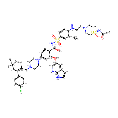 CC(C)C(=O)N=[SH]1(O)CCN(CCNc2ccc(S(=O)(=O)NC(=O)c3ccc(N4CCN(CC5=C(c6ccc(Cl)cc6)CC(C)(C)CC5)CC4)cc3Oc3cnc4[nH]ccc4c3)cc2[N+](=O)[O-])CC1